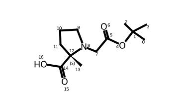 CC(C)(C)OC(=O)CN1CCC[C@@]1(C)C(=O)O